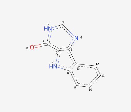 O=c1[nH]cnc2c1[nH]c1ccccc12